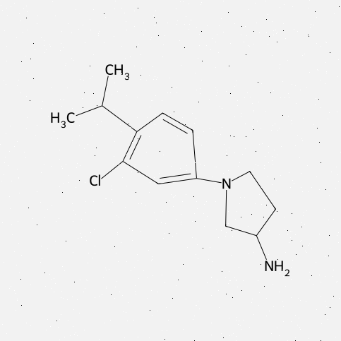 CC(C)c1ccc(N2CCC(N)C2)cc1Cl